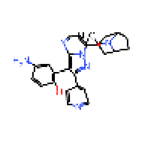 CCN1C2CCC1CC(c1ccnc3c(-c4cc(N)ccc4O)c(-c4ccncc4)nn13)C2